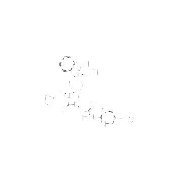 CN(C)[C@]1(c2ccccc2)CC[C@]2(CC1)CN(CC(=O)Nc1ncc(C#N)cn1)C(=O)N2CC1CCC1